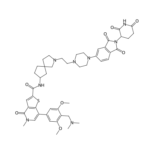 COc1cc(-c2cn(C)c(=O)c3cc(C(=O)NC4CCC5(CCN(CCN6CCN(c7ccc8c(c7)C(=O)N(C7CCC(=O)NC7=O)C8=O)CC6)C5)C4)sc23)cc(OC)c1CN(C)C